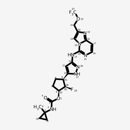 CC1(NC(=O)O[C@H]2CC[C@@H](c3cc(Nc4nccc5nc(COC(F)(F)F)cn45)n[nH]3)[C@H]2F)CC1